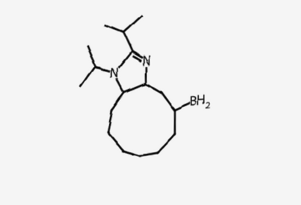 BC1CCCCCCC2C(C1)N=C(C(C)C)N2C(C)C